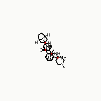 COc1cccc(C(=O)N[C@H]2C[C@H]3CC[C@@H](C2)N3c2ccc(C(=O)NC3CCN(C)CC3)cn2)c1C